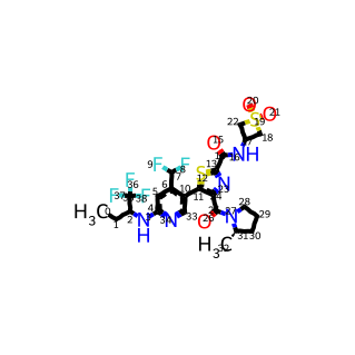 CCC(Nc1cc(C(F)F)c(-c2sc(C(=O)NC3CS(=O)(=O)C3)nc2C(=O)N2CCC[C@@H]2C)cn1)C(F)(F)F